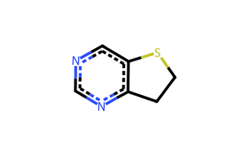 c1ncc2c(n1)CCS2